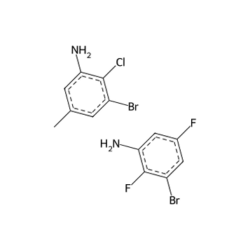 Cc1cc(N)c(Cl)c(Br)c1.Nc1cc(F)cc(Br)c1F